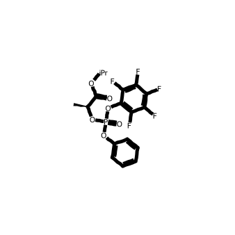 CC(C)OC(=O)[C@H](C)OP(=O)(Oc1ccccc1)Oc1c(F)c(F)c(F)c(F)c1F